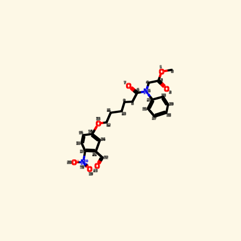 COC(=O)CN(C(=O)CCCCCOc1ccc([N+](=O)[O-])c(C=O)c1)c1ccccc1